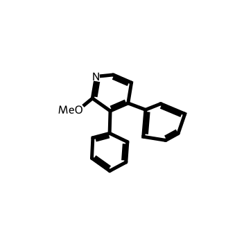 COc1nccc(-c2ccccc2)c1-c1ccccc1